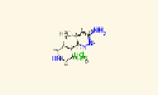 Cc1cc(N)nnc1C1CCNCC1.Cl.Cl